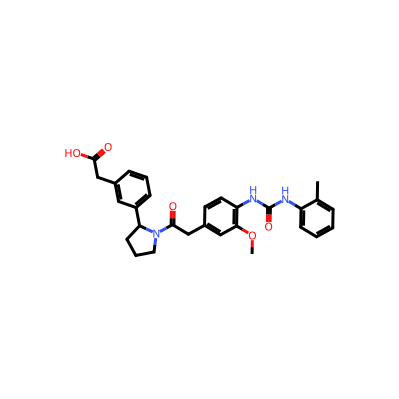 COc1cc(CC(=O)N2CCCC2c2cccc(CC(=O)O)c2)ccc1NC(=O)Nc1ccccc1C